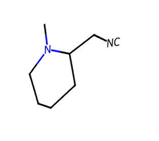 [C-]#[N+]CC1CCCCN1C